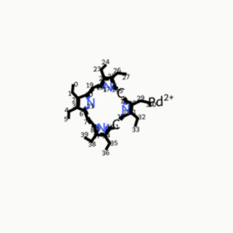 CCC1=C(CC)c2cc3[n-]c(cc4nc(cc5[n-]c(cc1n2)c(CC)c5CC)C(CC)=C4CC)c(CC)c3CC.[Pd+2]